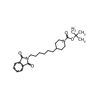 CC(C)(C)OC(=O)N1CCC(CCCCCCN2C(=O)c3ccccc3C2=O)CC1